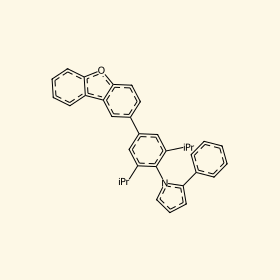 CC(C)c1cc(-c2ccc3oc4ccccc4c3c2)cc(C(C)C)c1-n1cccc1-c1ccccc1